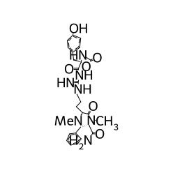 CN[C@@H](CCCNC(=N)NC(=O)[C@]1(Cc2ccc(O)cc2)NC(=O)O1)C(=O)N(C)[C@@H](Cc1ccccc1)C(N)=O